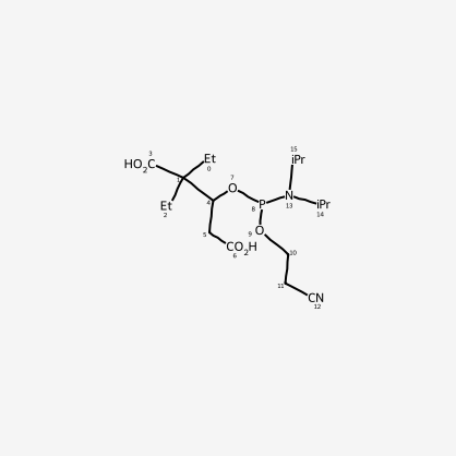 CCC(CC)(C(=O)O)C(CC(=O)O)OP(OCCC#N)N(C(C)C)C(C)C